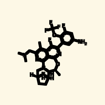 Cc1c(CN(C)C)nc2c3c(nc(-c4cc(N)cc(F)c4OC(F)(F)F)c(F)c13)O[C@@H](C)[C@@H]1[C@@H]3CC[C@H](CN21)N3